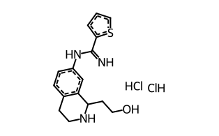 Cl.Cl.N=C(Nc1ccc2c(c1)C(CCO)NCC2)c1cccs1